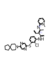 C=C/C(C(=C)Nc1cccc(Sc2cnc(N3CCC4(CCCC4)CC3)cn2)c1Cl)=C(C)\N=c1\ccccn1C